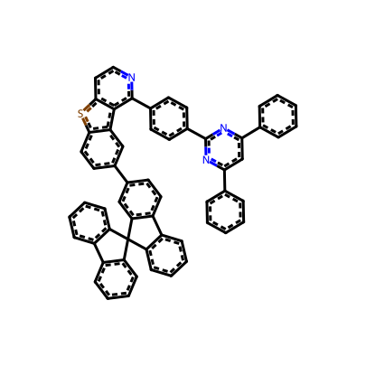 c1ccc(-c2cc(-c3ccccc3)nc(-c3ccc(-c4nccc5sc6ccc(-c7ccc8c(c7)C7(c9ccccc9-c9ccccc97)c7ccccc7-8)cc6c45)cc3)n2)cc1